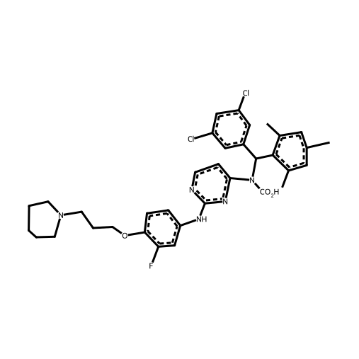 Cc1cc(C)c(C(c2cc(Cl)cc(Cl)c2)N(C(=O)O)c2ccnc(Nc3ccc(OCCCN4CCCCC4)c(F)c3)n2)c(C)c1